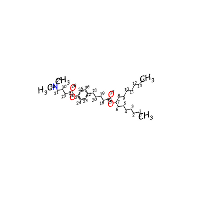 CCCCCCCC(CCCCCCC)OC(=O)CCCCc1ccc(OC(=O)CCCN(C)C)cc1